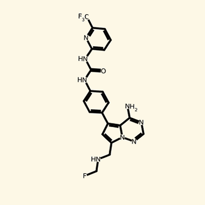 Nc1ncnn2c(CNCF)cc(-c3ccc(NC(=O)Nc4cccc(C(F)(F)F)n4)cc3)c12